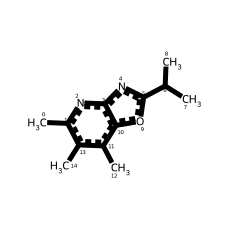 Cc1nc2nc(C(C)C)oc2c(C)c1C